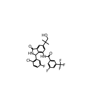 CC(C)(CO)c1cc(NC(=O)c2cc(F)cc(C(F)(F)F)c2)c2c(c1)C(=O)NC2c1cc(F)ccc1Cl